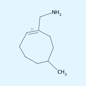 CC1CCC/C=C(/CN)CC1